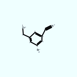 N#Cc1cccc([CH2][Zn+])c1.[Br-]